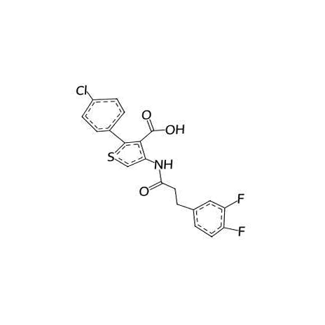 O=C(CCc1ccc(F)c(F)c1)Nc1csc(-c2ccc(Cl)cc2)c1C(=O)O